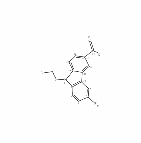 CCCn1c2ccc(F)cc2c2cc(C(C)=O)ccc21